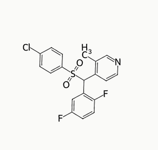 Cc1cnccc1C(c1cc(F)ccc1F)S(=O)(=O)c1ccc(Cl)cc1